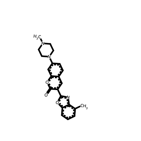 Cc1cccc2oc(-c3cc4ccc(N5CCN(C)CC5)cc4oc3=O)nc12